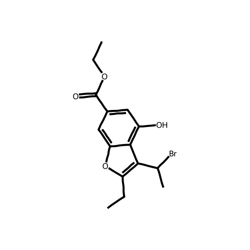 CCOC(=O)c1cc(O)c2c(C(C)Br)c(CC)oc2c1